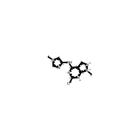 Cn1cnc(Nc2nc(Cl)nc3c2cnn3C)c1